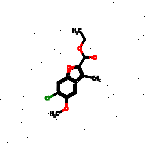 CCOC(=O)c1oc2cc(Cl)c(OC)cc2c1C